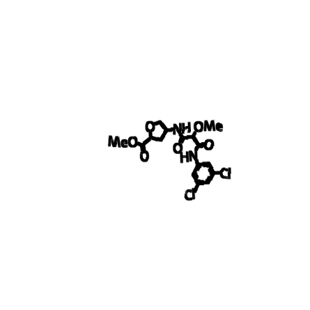 COC(=O)C1CC(NC(=O)C(OC)C(=O)Nc2cc(Cl)cc(Cl)c2)CO1